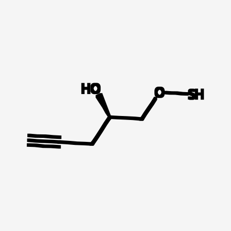 C#CC[C@@H](O)COS